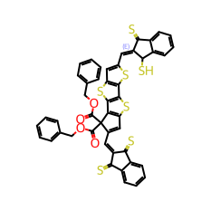 O=C(OCc1ccccc1)C1(C(=O)OCc2ccccc2)C(C=C2C(=S)c3ccccc3C2=S)=Cc2sc3c(sc4cc(/C=C5/C(=S)c6ccccc6C5S)sc43)c21